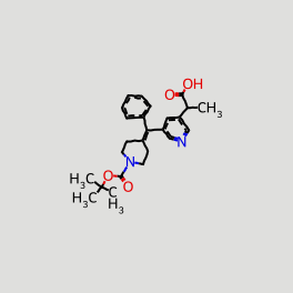 CC(C(=O)O)c1cncc(C(=C2CCN(C(=O)OC(C)(C)C)CC2)c2ccccc2)c1